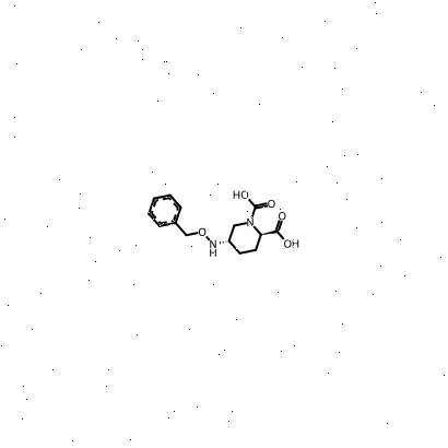 O=C(O)[C@H]1CC[C@H](NOCc2ccccc2)CN1C(=O)O